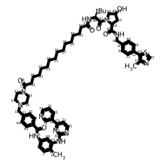 Cc1ccc(NC(=O)c2ccc(CN3CCN(C(=O)CCCCCCCCCCCCCCC(=O)N[C@H](C(=O)N4CC(O)CC4C(=O)NCc4ccc(-c5scnc5C)cc4)C(C)(C)C)CC3)cc2)cc1Nc1nccc(-c2cccnc2)n1